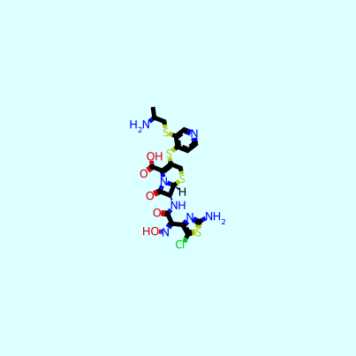 CC(N)CSc1cnccc1SC1=C(C(=O)O)N2C(=O)[C@@H](NC(=O)/C(=N\O)c3nc(N)sc3Cl)[C@@H]2SC1